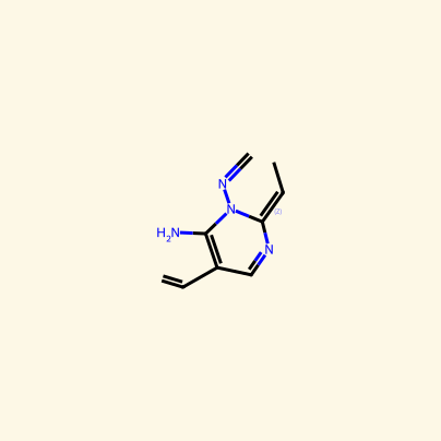 C=CC1=C(N)N(N=C)/C(=C\C)N=C1